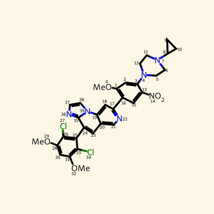 COc1cc(N2CCN(C3CC3)CC2)c([N+](=O)[O-])cc1-c1cc2c(cn1)cc(-c1c(Cl)c(OC)cc(OC)c1Cl)c1nccn12